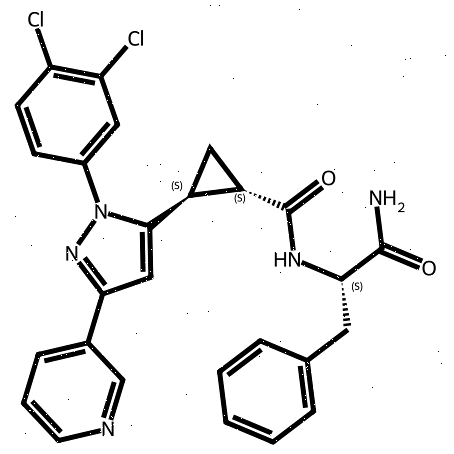 NC(=O)[C@H](Cc1ccccc1)NC(=O)[C@H]1C[C@@H]1c1cc(-c2cccnc2)nn1-c1ccc(Cl)c(Cl)c1